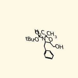 CC(C)(C)OC(=O)N1C(Cc2ccccc2)C(CO)OC1(C)C